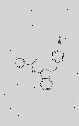 N#Cc1ccc(Cn2cc(NC(=O)c3ccoc3)c3ccccc32)cc1